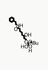 CCC(C)OC(OCC[C@H](O)CCCCC(=O)NCCc1ccccc1)C(O)O